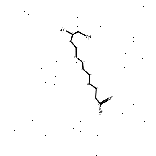 CC(CO)CCCCCCCCCC(=O)O